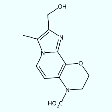 Cc1c(CO)nc2c3c(ccn12)N(C(=O)O)CCO3